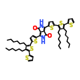 CCCCCCc1c(-c2cccs2)sc(-c2ccc(C3=C4C(=O)NC(c5ccc(-c6sc(-c7cccs7)c(CCCCCC)c6CCCCCC)s5)=C4C(=O)N3)s2)c1CCCCCC